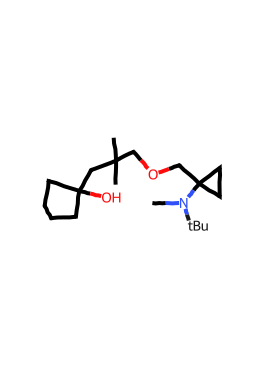 CN(C(C)(C)C)C1(COCC(C)(C)CC2(O)CCCC2)CC1